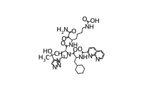 CC(C)(O)c1cnnn1[C@H]1C[C@@H](C(=O)NC(CCCCNC(=O)O)C(=O)C(N)=O)N(C(=O)C(CC2CCCCC2)NC(=O)c2ccc3cccnc3n2)C1